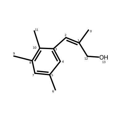 CC(=Cc1cc(C)cc(C)c1C)CO